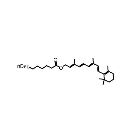 CCCCCCCCCCCCCCCC(=O)OC/C=C(\C)C=CC=C(C)C=CC1=C(C)CCCC1(C)C